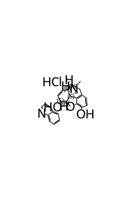 CN1CC[C@]23c4c5ccc(O)c4O[C@H]2[C@@H](O)C=C[C@H]3[C@H]1C5.Cl.c1ccc2ncccc2c1